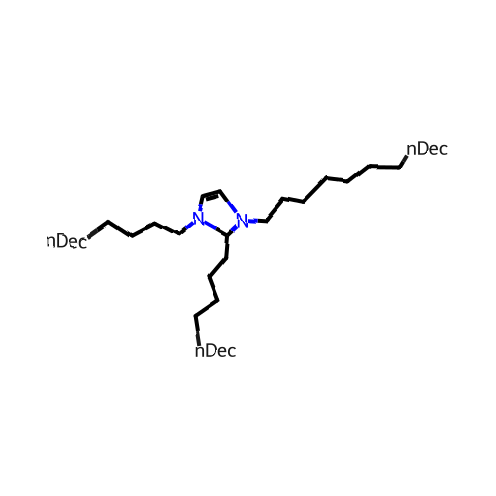 CCCCCCCCCCCCCCCCCN1C=CN(CCCCCCCCCCCCCC)C1CCCCCCCCCCCCCC